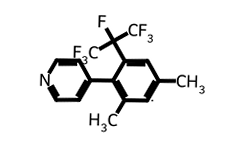 Cc1[c]c(C)c(-c2ccncc2)c(C(F)(C(F)(F)F)C(F)(F)F)c1